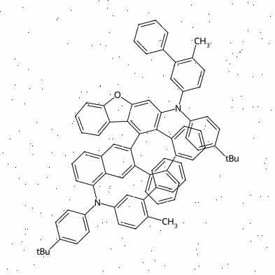 Cc1ccc(N(c2ccc(C(C)(C)C)cc2)c2cc3oc4ccccc4c3c3c2-c2ccccc2-c2ccccc2-c2cc4c(N(c5ccc(C(C)(C)C)cc5)c5ccc(C)c(-c6ccccc6)c5)cccc4cc2-3)cc1-c1ccccc1